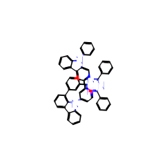 c1ccc(-c2nc(-c3ccccc3)nc(-c3cccc(-c4cccc5c6ccccc6n(-c6cccc(-c7ccc8c(c7)c7ccccc7n8-c7ccccc7)c6)c45)c3)n2)cc1